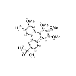 COc1ccc(-c2cc(P(C)(C)=O)ccc2-c2cc(OC)c(OC)c(OC)c2)cc1C